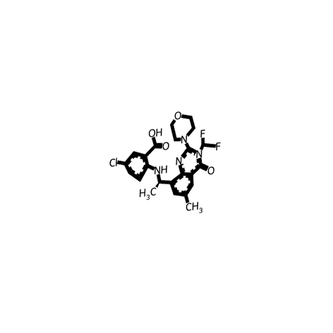 Cc1cc([C@@H](C)Nc2ccc(Cl)cc2C(=O)O)c2nc(N3CCOCC3)n(C(F)F)c(=O)c2c1